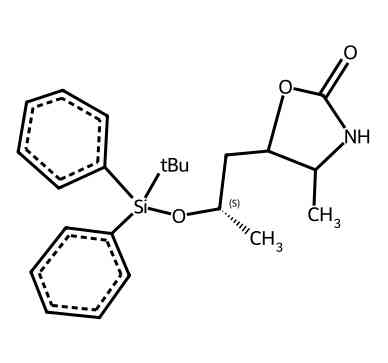 CC1NC(=O)OC1C[C@H](C)O[Si](c1ccccc1)(c1ccccc1)C(C)(C)C